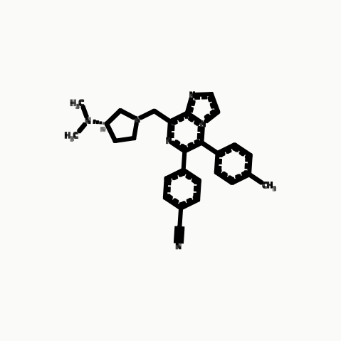 Cc1ccc(-c2c(-c3ccc(C#N)cc3)nc(CN3CC[C@H](N(C)C)C3)c3nccn23)cc1